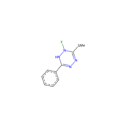 CSC1=NN=C(c2ccccc2)NN1F